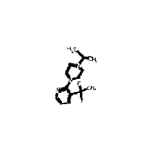 CC(C)N1CCN(c2ncccc2C(C)(F)F)CC1